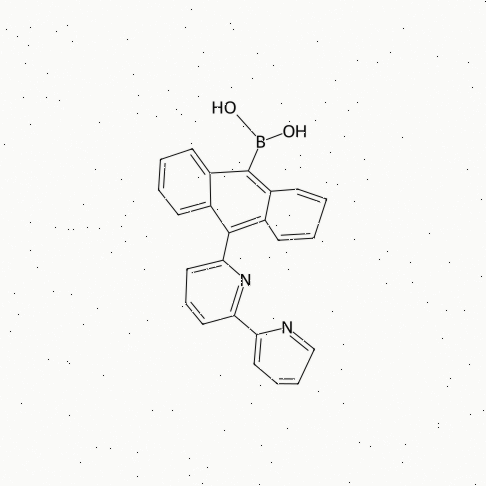 OB(O)c1c2ccccc2c(-c2cccc(-c3ccccn3)n2)c2ccccc12